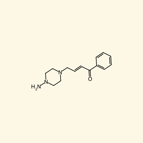 NN1CCN(CC=CC(=O)c2ccccc2)CC1